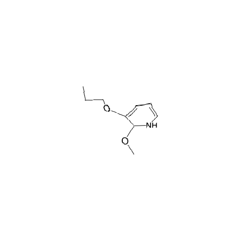 CCCOC1=CC=CN[C]1OC